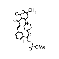 COC(=O)CNC(=O)c1cccc(C=CC(=O)c2c(N3CCOCC3)cc(C)oc2=O)c1